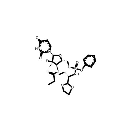 CCC(=O)O[C@@H]1[C@@H](COP(=O)(N[C@@H](CC)C2OCCO2)Oc2ccccc2)O[C@@H](n2ccc(=O)[nH]c2=O)[C@]1(C)F